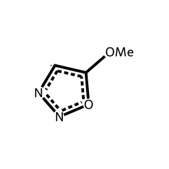 COc1[c]nno1